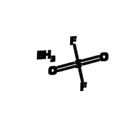 B.O=S(=O)(F)F